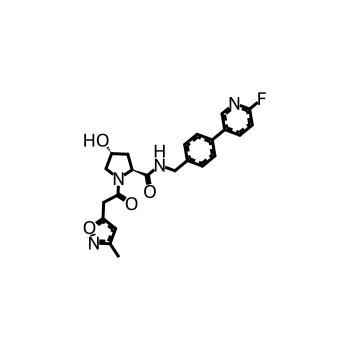 Cc1cc(CC(=O)N2C[C@H](O)C[C@H]2C(=O)NCc2ccc(-c3ccc(F)nc3)cc2)on1